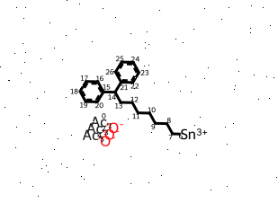 CC(=O)[O-].CC(=O)[O-].CC(=O)[O-].[Sn+3][CH2]CCCCCCC(c1ccccc1)c1ccccc1